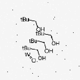 CC(C)(C)CO.CC(C)(C)CO.CC(C)(C)CO.CC(C)(C)CO.[O]=[W]